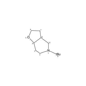 CC(C)(C)N1CCC2OCCC2C1